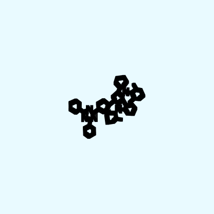 Cc1cccc(C)c1-n1c2ccccc2c2c1c(-c1ccc(-c3nc(-c4ccccc4)nc(-c4ccccc4)n3)cc1)cc1c3ccccc3n(-c3c(C)cccc3C)c12